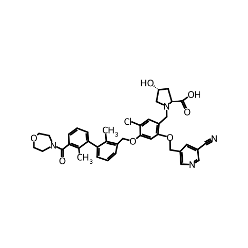 Cc1c(COc2cc(OCc3cncc(C#N)c3)c(CN3C[C@H](O)C[C@H]3C(=O)O)cc2Cl)cccc1-c1cccc(C(=O)N2CCOCC2)c1C